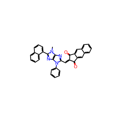 Cn1c(-c2cccc3ccccc23)nc2c1nc(C=C1C(=O)c3cc4ccccc4cc3C1=O)n2-c1ccccc1